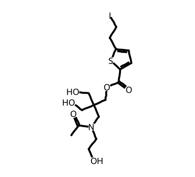 CC(=O)N(CCO)CC(CO)(CO)COC(=O)c1ccc(CCI)s1